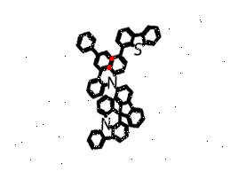 c1ccc(-c2cccc(-c3ccccc3N(c3ccc(-c4cccc5c4sc4ccccc45)cc3)c3ccc4c(c3)C3(c5ccccc5-4)c4ccccc4-n4c5ccccc5c5cccc3c54)c2)cc1